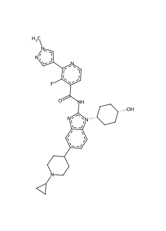 Cn1cc(-c2nccc(C(=O)Nc3nc4cc(C5CCN(C6CC6)CC5)ccc4n3[C@H]3CC[C@@H](O)CC3)c2F)cn1